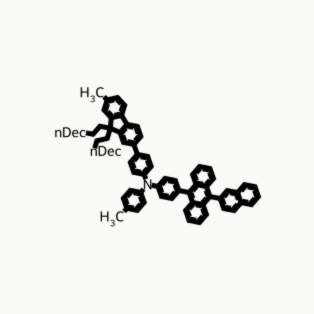 CCCCCCCCCCCCC1(CCCCCCCCCCCC)c2cc(C)ccc2-c2ccc(-c3ccc(N(c4ccc(C)cc4)c4ccc(-c5c6ccccc6c(-c6ccc7ccccc7c6)c6ccccc56)cc4)cc3)cc21